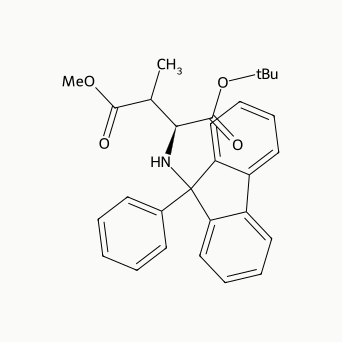 COC(=O)C(C)[C@H](NC1(c2ccccc2)c2ccccc2-c2ccccc21)C(=O)OC(C)(C)C